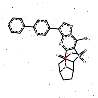 CC(C)(C)OC(=O)N1C2CCC1C1C(C2)c2nc3c(-c4ccc(-c5ccccc5)nc4)cnn3c(N)c2S1(=O)=O